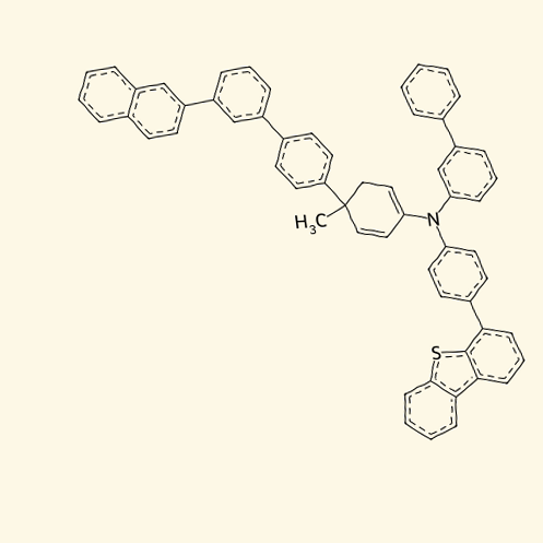 CC1(c2ccc(-c3cccc(-c4ccc5ccccc5c4)c3)cc2)C=CC(N(c2ccc(-c3cccc4c3sc3ccccc34)cc2)c2cccc(-c3ccccc3)c2)=CC1